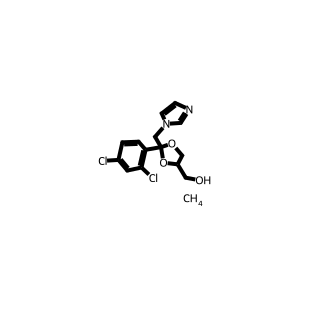 C.OCC1COC(Cn2ccnc2)(c2ccc(Cl)cc2Cl)O1